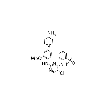 COc1cc(N2CCC(N)CC2)ccc1Nc1ncc(Cl)c(Nc2ccccc2P(C)(C)=O)n1